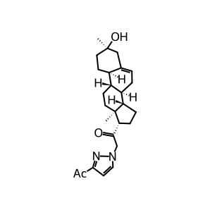 CC(=O)c1ccn(CC(=O)[C@H]2CC[C@H]3[C@@H]4CC=C5C[C@](C)(O)CC[C@@H]5[C@H]4CC[C@]23C)n1